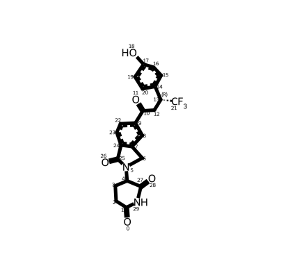 O=C1CCC(N2Cc3cc(C(=O)C[C@H](c4ccc(O)cc4)C(F)(F)F)ccc3C2=O)C(=O)N1